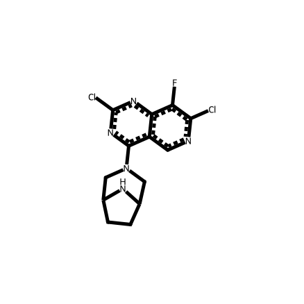 Fc1c(Cl)ncc2c(N3CC4CCC(C3)N4)nc(Cl)nc12